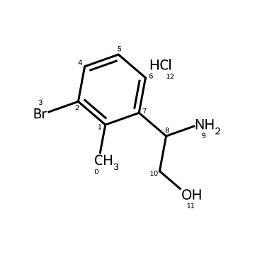 Cc1c(Br)cccc1C(N)CO.Cl